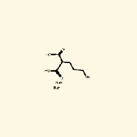 NCCCC(C(=O)O)C(=O)O.[NaH].[NaH]